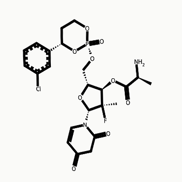 C[C@H](N)C(=O)O[C@@H]1[C@@H](CO[P@@]2(=O)OCC[C@@H](c3cccc(Cl)c3)O2)O[C@@H](N2C=CC(=O)CC2=O)[C@]1(C)F